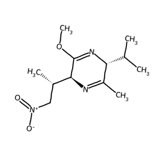 COC1=N[C@H](C(C)C)C(C)=N[C@H]1[C@@H](C)C[N+](=O)[O-]